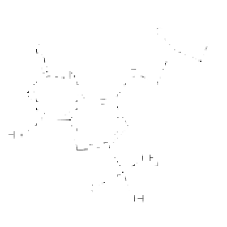 Cc1cc(=O)[nH]c2c(OCC(O)CCl)cc(C(O)(C(F)(F)F)C(F)(F)F)cc12